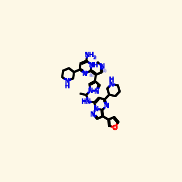 C/N=C\C(=C1\N=C(C2CCCNC2)C=C(N)N1)c1cnn(C(C)Nc2cc(C3CCCNC3)nc3c(-c4ccoc4)cnn23)c1